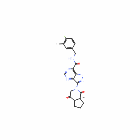 O=C(NCc1ccc(F)c(C(F)(F)F)c1)c1ncnc2c(N3CC(=O)C4CCC[C@H]4C3=O)n[nH]c12